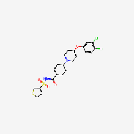 O=C(NS(=O)(=O)C1CCSC1)C1CCC(N2CCC(Oc3ccc(Cl)c(Cl)c3)CC2)CC1